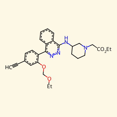 C#Cc1ccc(-c2nnc(NC3CCCN(CC(=O)OCC)C3)c3ccccc23)c(OCOCC)c1